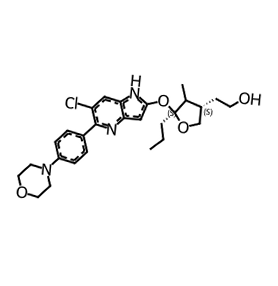 CCC[C@@]1(Oc2cc3nc(-c4ccc(N5CCOCC5)cc4)c(Cl)cc3[nH]2)OC[C@@H](CCO)C1C